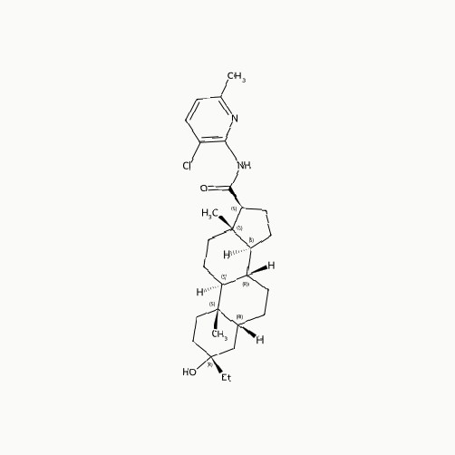 CC[C@@]1(O)CC[C@@]2(C)[C@H](CC[C@@H]3[C@@H]2CC[C@]2(C)[C@@H](C(=O)Nc4nc(C)ccc4Cl)CC[C@@H]32)C1